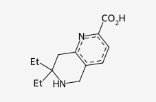 CCC1(CC)Cc2nc(C(=O)O)ccc2CN1